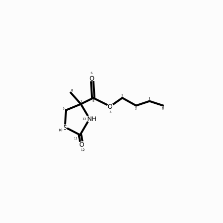 CCCCOC(=O)C1(C)CSC(=O)N1